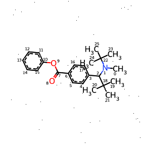 CN(C(c1ccc(C(=O)Oc2ccccc2)cc1)C(C)(C)C)C(C)(C)C